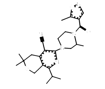 Cc1oncc1C(=O)N1CCN(c2nc(C(C)C)c3c(c2C#N)CC(C)(C)OC3)CC1C